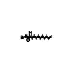 CCCCCCCCCCNC(=O)CBr